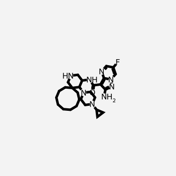 Nc1nn2cc(F)cnc2c1C(=O)NC1CNCC2(CCCCCCCCC2)C1N1CCN(C2CC2)CC1